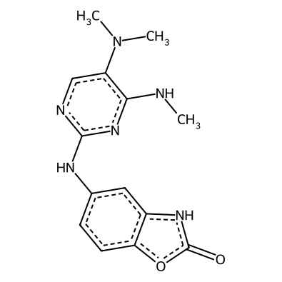 CNc1nc(Nc2ccc3oc(=O)[nH]c3c2)ncc1N(C)C